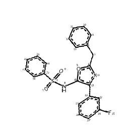 O=S(=O)(Nc1oc(Cc2ccccc2)nc1-c1cccc(F)c1)c1ccccc1